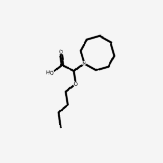 CCCCOC(C(=O)O)N1CCCCCCC1